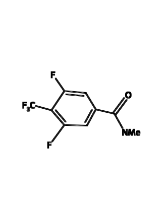 CNC(=O)c1cc(F)c(C(F)(F)F)c(F)c1